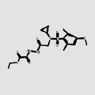 CCOC(=O)C(=O)NNC(=O)CN(C1CC1)S(=O)(=O)c1c(C)cc(OC)cc1C